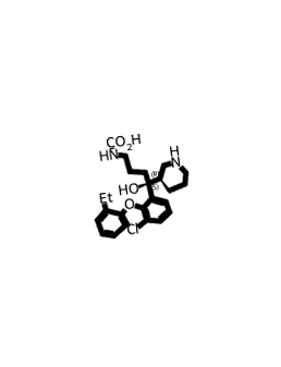 CCc1ccccc1Oc1c(Cl)cccc1[C@](O)(CCCNC(=O)O)[C@@H]1CCCNC1